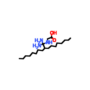 CCCCCCCCC(CCCCCCCC)C(N)(N)NCC(=O)O